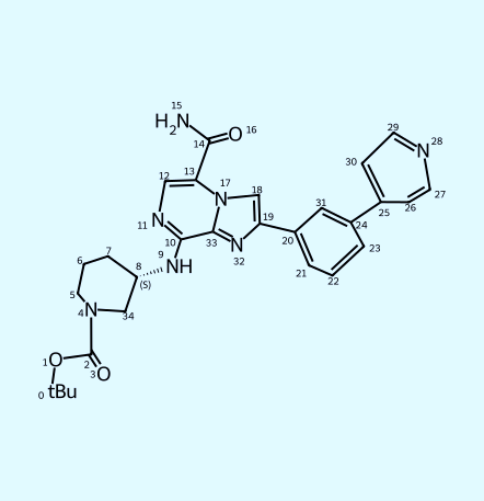 CC(C)(C)OC(=O)N1CCC[C@H](Nc2ncc(C(N)=O)n3cc(-c4cccc(-c5ccncc5)c4)nc23)C1